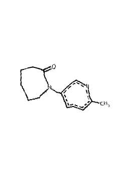 Cc1ccc(N2CCCCCC2=O)cn1